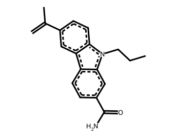 C=C(C)c1ccc2c(c1)c1ccc(C(N)=O)cc1n2CCC